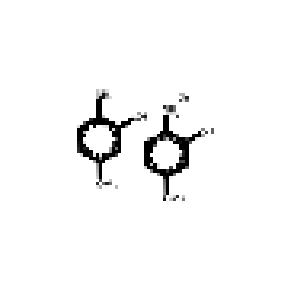 COc1ccc(N)c(S)c1.COc1ccc(N)c(S)c1.[Zn]